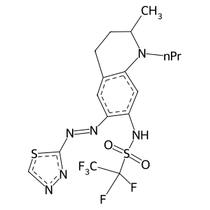 CCCN1c2cc(NS(=O)(=O)C(F)(F)C(F)(F)F)c(N=Nc3nncs3)cc2CCC1C